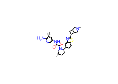 CCc1cc(NC(=O)C(=O)N2C[C@@H](C)CCC2c2ccc3sc(C4CC5CN(C)CC54)nc3c2)cnc1N